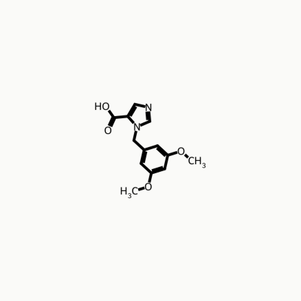 COc1cc(Cn2cncc2C(=O)O)cc(OC)c1